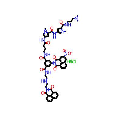 CN(C)CCCNC(=O)c1cc(NC(=O)c2cc(NC(=O)CCCNC(=O)c3cc(C(=O)NCCNCCN4C(=O)c5cccc6cccc(c56)C4=O)cc(N4C(=O)c5cccc6cc([N+](=O)[O-])cc(c56)C4=O)c3)cn2C)cn1C.Cl.Cl